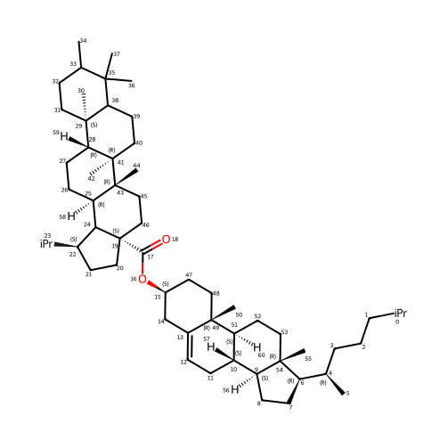 CC(C)CCC[C@@H](C)[C@H]1CC[C@H]2[C@@H]3CC=C4C[C@@H](OC(=O)[C@]56CC[C@@H](C(C)C)C5[C@H]5CC[C@@H]7[C@@]8(C)CCC(C)C(C)(C)C8CC[C@@]7(C)[C@]5(C)CC6)CC[C@]4(C)[C@H]3CC[C@]12C